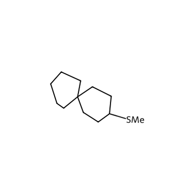 CSC1CCC2(CCCCC2)CC1